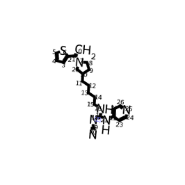 C=C(c1cccs1)N1CCC(CCCCCN/C(=N/C#N)Nc2ccncc2)C1